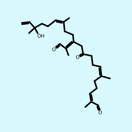 C=CC(C)(O)CCC=C(C)CCC(CC(=O)CCC=C(C)CCC=C(C)C=O)=C(C)C=O